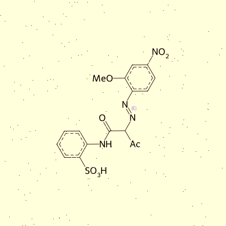 COc1cc([N+](=O)[O-])ccc1/N=N/C(C(C)=O)C(=O)Nc1ccccc1S(=O)(=O)O